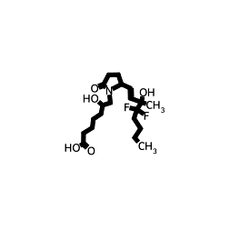 CCCCC(F)(F)C(C)(O)C=CC1CCC(=O)N1CC(O)CCCCC(=O)O